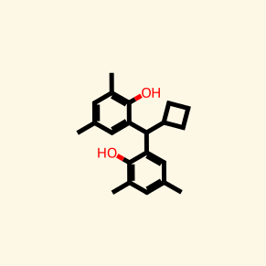 Cc1cc(C)c(O)c(C(c2cc(C)cc(C)c2O)C2CCC2)c1